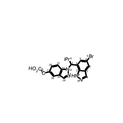 CC(C)C(c1cc(Br)cc2cn[nH]c12)n1ncc2cc(OC(=O)O)ccc21